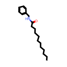 [CH2]CCCCCCCCCCC(=O)NCc1ccccc1